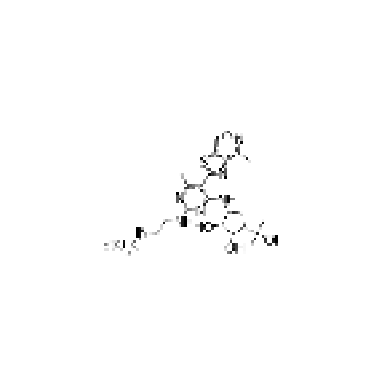 CCOC(=O)NCCNc1nc(C)c(-c2nc3c(C)nccc3s2)c(NC2C[C@H](C(C)(C)O)[C@@H](O)[C@H]2O)n1